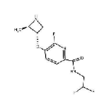 C[C@H]1NC[C@@H]1Oc1ccc(C(=O)NCC(F)F)nc1F